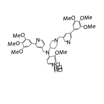 COc1ccccc1N(Cc1ccnc(-c2cc(OC)c(OC)c(OC)c2)c1)C1CCN(Cc2cncc(-c3cc(OC)c(OC)c(OC)c3)c2)CC1.Cl.Cl.Cl